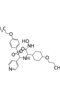 CCCOC1CCC(C(NC(c2ccncc2)S(=O)(=O)c2ccc(OCC)cc2)C(=O)NO)CC1